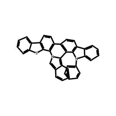 c1ccc(-n2c3ccccc3c3ccc4c5ccc6c7ccccc7sc6c5n5cc6ccccc6c5c4c32)cc1